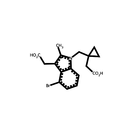 Cc1c(CC(=O)O)c2c(Br)cccc2n1CC1(CC(=O)O)CC1